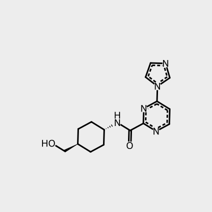 O=C(N[C@H]1CC[C@H](CO)CC1)c1nccc(-n2ccnc2)n1